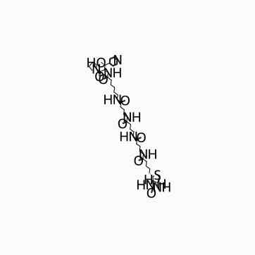 O=C(CCCC[C@@H]1SC[C@@H]2NC(=O)N[C@@H]21)NCCCC(=O)NCCCC(=O)NCCCC(=O)NCCCCCC(=O)N[C@@H](C(=O)N1CCCC1)[C@@H](O)c1ccncc1